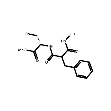 COC(=O)[C@H](CC(C)C)NC(=O)C(Cc1ccccc1)C(=O)NO